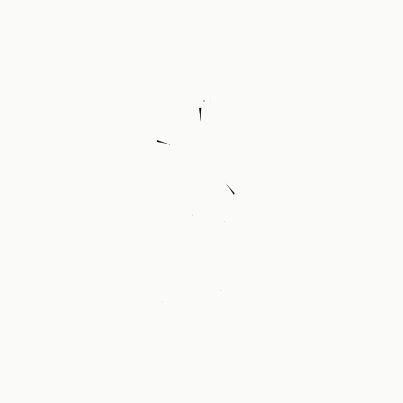 B[C@@H]1O[C@H](CC(C)(C)OP(=O)(O)C(C)O)C(O)[C@@H]1O